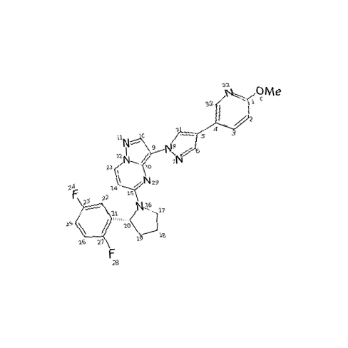 COc1ccc(-c2cnn(-c3cnn4ccc(N5CCC[C@@H]5c5cc(F)ccc5F)nc34)c2)cn1